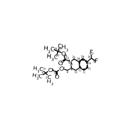 CC(C)(C)OC(=O)OC[C@@H]1Cc2ccc(C(F)F)cc2CN1C(=O)OC(C)(C)C